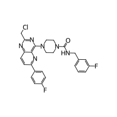 O=C(NCc1cccc(F)c1)N1CCN(c2nc(CCl)nc3ccc(-c4ccc(F)cc4)nc23)CC1